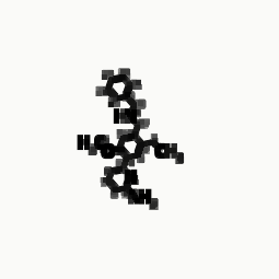 CCc1cc(-c2cccc(N)n2)c(OC)cc1CNCc1ccccc1